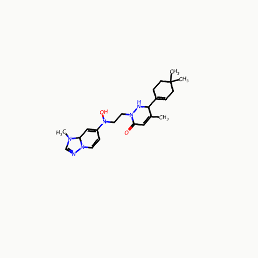 CC1=CC(=O)N(CCN(O)C2=CC3N(C)C=NN3C=C2)NC1C1=CCC(C)(C)CC1